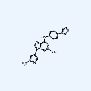 N#Cc1cn2c(-c3cnn(N)c3)cnc2c(Nc2ccc(-n3ccnc3)cc2)n1